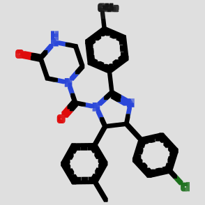 COc1ccc(C2=NC(c3ccc(Cl)cc3)C(c3cccc(C)c3)N2C(=O)N2CCNC(=O)C2)cc1